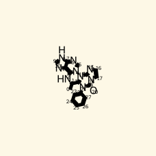 CC(Nc1ncnc2[nH]cnc12)c1nc2nccn2c(=O)n1-c1ccccc1